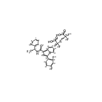 O=C(NC(c1ccccn1)C(F)(F)F)c1nc(-c2ccc(F)cc2F)n2ccccc12.O=C(O)C(F)(F)F.O=C(O)C(F)(F)F